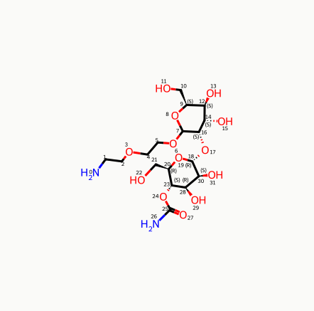 NCCOCCOC1O[C@@H](CO)[C@@H](O)[C@H](O)[C@@H]1O[C@H]1O[C@H](CO)[C@@H](OC(N)=O)[C@H](O)[C@@H]1O